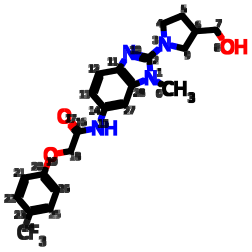 Cn1c(N2CCC(CO)C2)nc2ccc(NC(=O)COc3ccc(C(F)(F)F)cc3)cc21